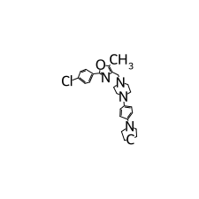 Cc1oc(-c2ccc(Cl)cc2)nc1CN1CCN(c2ccc(N3CCCCC3)cc2)CC1